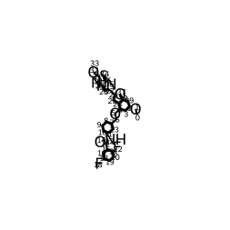 COc1cc(OCc2cccc(NC(=O)c3cc(F)ccc3F)c2)c2cc(-c3cn4nc(OC)sc4n3)oc2c1